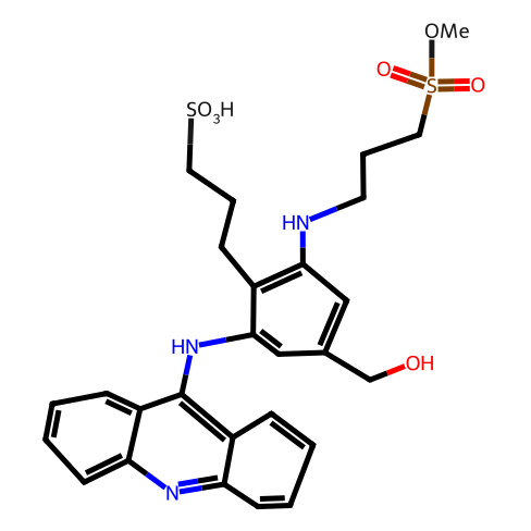 COS(=O)(=O)CCCNc1cc(CO)cc(Nc2c3ccccc3nc3ccccc23)c1CCCS(=O)(=O)O